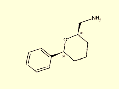 NC[C@H]1CCC[C@@H](c2ccccc2)O1